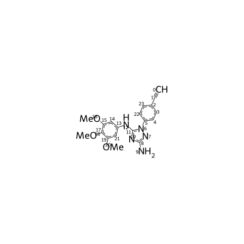 C#Cc1ccc(-n2nc(N)nc2Nc2cc(OC)c(OC)c(OC)c2)cc1